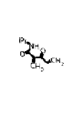 C=CC(=O)C(=C)C(=O)NC(C)C